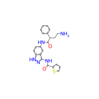 NCCC(C(=O)Nc1ccc2[nH]nc(NC(=O)c3cccs3)c2c1)c1ccccc1